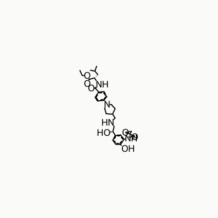 CCOC(=O)[C@H](CC(C)C)NC(=O)c1ccc(N2CCC(CNC[C@H](O)c3ccc(O)c(NS(C)(=O)=O)c3)CC2)cc1